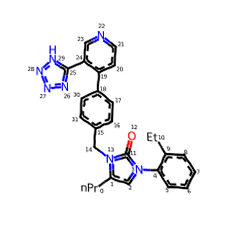 CCCc1cn(-c2ccccc2CC)c(=O)n1Cc1ccc(-c2ccncc2-c2nnn[nH]2)cc1